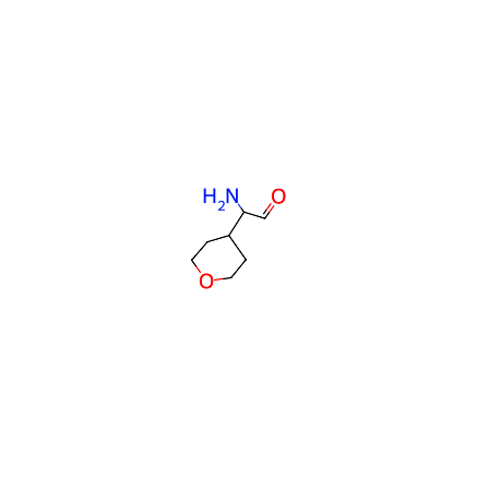 NC(C=O)C1CCOCC1